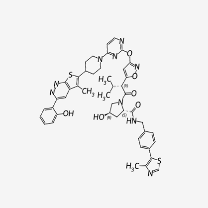 Cc1ncsc1-c1ccc(CNC(=O)[C@@H]2C[C@@H](O)CN2C(=O)[C@@H](c2cc(Oc3nccc(N4CCC(c5sc6nnc(-c7ccccc7O)cc6c5C)CC4)n3)no2)C(C)C)cc1